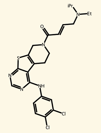 CCN(CC=CC(=O)N1CCc2c(sc3ncnc(Nc4ccc(Cl)c(Cl)c4)c23)C1)C(C)C